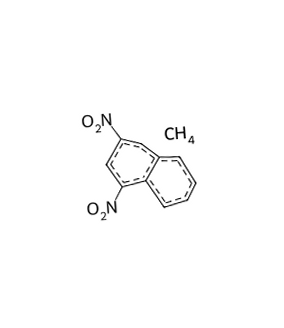 C.O=[N+]([O-])c1cc([N+](=O)[O-])c2ccccc2c1